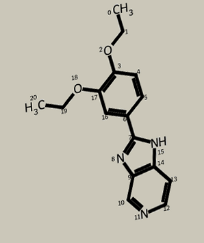 CCOc1ccc(-c2nc3cnccc3[nH]2)cc1OCC